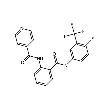 O=C(Nc1ccccc1C(=O)Nc1ccc(F)c(C(F)(F)F)c1)c1ccncc1